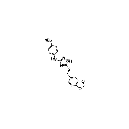 CCCCc1ccc(Nc2n[nH]c(SCc3ccc4c(c3)OCO4)n2)cc1